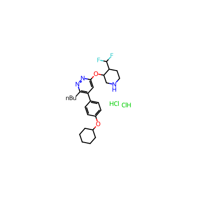 CCCCc1nnc(OC2CNCCC2C(F)F)cc1-c1ccc(OC2CCCCC2)cc1.Cl.Cl